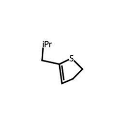 CC(C)CC1=CCCS1